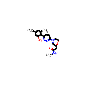 CNC(=O)C[C@@H]1CN(c2ccc(-c3c(C)cc(C)cc3O)nn2)CCO1